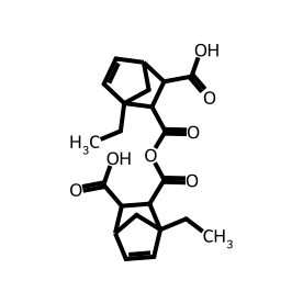 CCC12C=CC(C1)C(C(=O)O)C2C(=O)OC(=O)C1C(C(=O)O)C2C=CC1(CC)C2